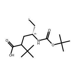 CC(C)(C)OC(=O)N[C@@H](CI)CC(C(=O)O)C(C)(C)C